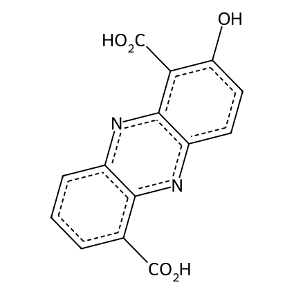 O=C(O)c1cccc2nc3c(C(=O)O)c(O)ccc3nc12